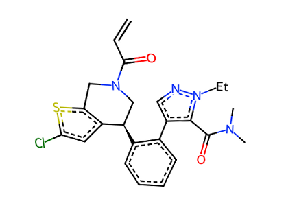 C=CC(=O)N1Cc2sc(Cl)cc2[C@H](c2ccccc2-c2cnn(CC)c2C(=O)N(C)C)C1